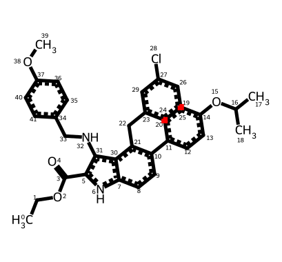 CCOC(=O)c1[nH]c2ccc(-c3ccc(OC(C)C)cc3)c(Cc3cccc(Cl)c3)c2c1NCc1ccc(OC)cc1